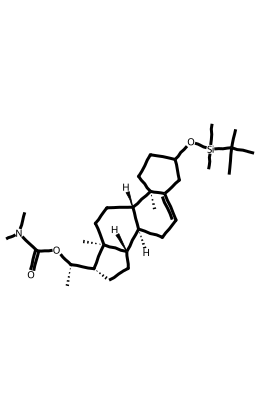 C[C@H](OC(=O)N(C)C)[C@H]1CC[C@H]2[C@@H]3CC=C4CC(O[Si](C)(C)C(C)(C)C)CC[C@]4(C)[C@H]3CC[C@]12C